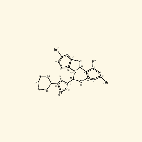 Fc1cc(Br)cc2c1C1Cc3cc(Br)ccc3N1C(c1cnc(C3CCCCC3)s1)O2